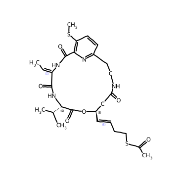 C/C=C1\NC(=O)c2nc(ccc2SC)CCNC(=O)C[C@@H](/C=C/CCSC(C)=O)OC(=O)[C@H](C(C)C)NC1=O